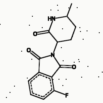 CC1CCC(N2C(=O)c3cccc(F)c3C2=O)C(=O)N1